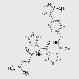 Cc1ncsc1-c1ccc(CNC(=O)[C@@H]2CCCN2C(=O)[C@@H](NC(=O)CCC(C)C)c2cccs2)cc1